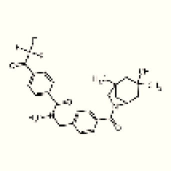 CN(Cc1ccc(C(=O)N2CC3(C)CC2CC(C)(C)C3)cc1)C(=O)c1ccc(C(=O)C(F)(F)F)cc1